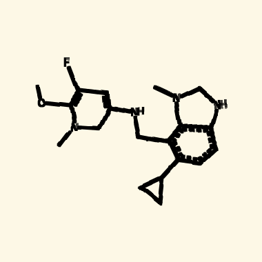 COC1=C(F)C=C(NCc2c(C3CC3)ccc3c2N(C)CN3)CN1C